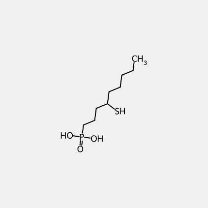 CCCCCC(S)CCCP(=O)(O)O